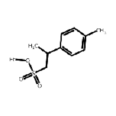 CCOS(=O)(=O)CC(C)c1ccc(C)cc1